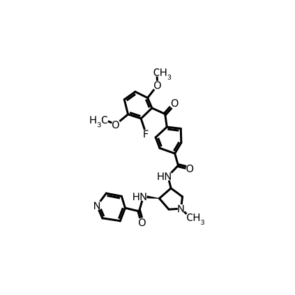 COc1ccc(OC)c(C(=O)c2ccc(C(=O)NC3CN(C)C[C@H]3NC(=O)c3ccncc3)cc2)c1F